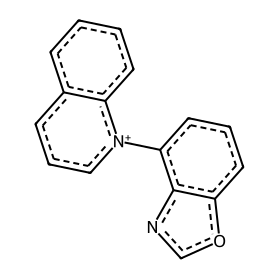 c1ccc2c(c1)ccc[n+]2-c1cccc2ocnc12